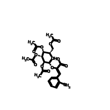 Bc1ccccc1/C=C(\O[C@H]1O[C@@H](COC(C)=O)[C@@H](OC(C)=O)[C@@H](OC(C)=O)[C@@H]1OC(C)=O)C(=O)O